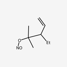 C=CC(CC)C(C)(C)ON=O